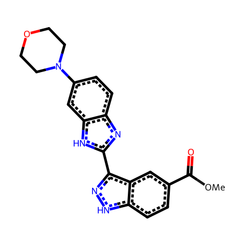 COC(=O)c1ccc2[nH]nc(-c3nc4ccc(N5CCOCC5)cc4[nH]3)c2c1